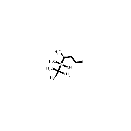 [Li][CH2]C[C@H](C)[Si](C)(C)C(C)(C)C